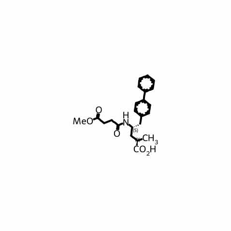 COC(=O)CCC(=O)N[C@H](Cc1ccc(-c2ccccc2)cc1)C[C@@H](C)C(=O)O